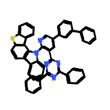 c1ccc(-c2cccc(-c3cnc(-n4c5ccccc5c5ccc6sc7ccccc7c6c54)c(-c4nc(-c5ccccc5)nc(-c5ccccc5)n4)c3)c2)cc1